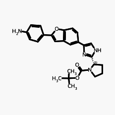 CC(C)(C)OC(=O)N1CCC[C@H]1c1nc(-c2ccc3oc(-c4ccc(N)cc4)cc3c2)c[nH]1